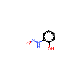 O=NNc1ccccc1O